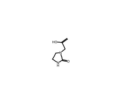 C=C(O)CN1CCNC1=O